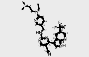 CCN(CCN(C)C)c1ccc(CNc2ncc(C#N)c(-c3c[nH]c4ncc(C(F)(F)F)cc34)n2)cn1